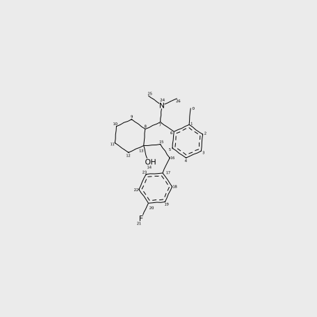 Cc1ccccc1C(C1CCCCC1(O)CCc1ccc(F)cc1)N(C)C